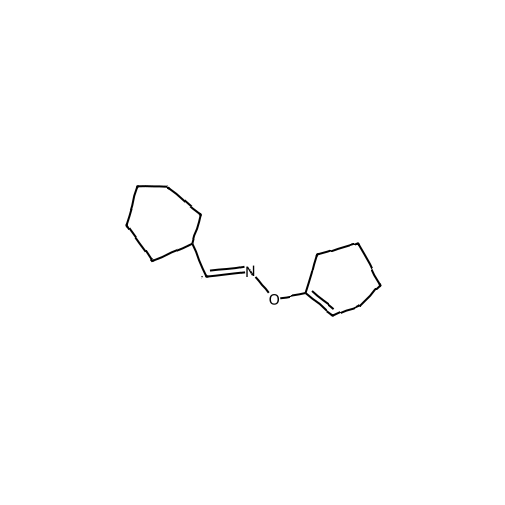 [C](=N\OC1=CCCCC1)/C1CCCCC1